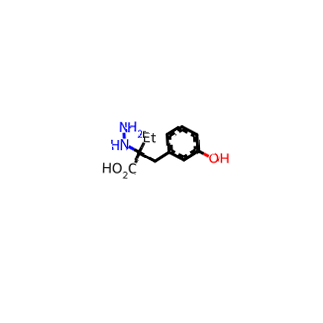 CCC(Cc1cccc(O)c1)(NN)C(=O)O